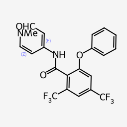 CN/C=C\C(=C/C=O)NC(=O)c1c(Oc2ccccc2)cc(C(F)(F)F)cc1C(F)(F)F